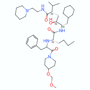 CCCC[C@H](NC(Cc1ccccc1)C(=O)N1CCC(OCOC)CC1)C(=O)N[C@@H](CC1CCCCC1)[C@@H](O)C[C@H](C(=O)NCCN1CCCCC1)C(C)C